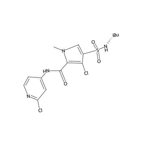 CC[C@@H](C)NS(=O)(=O)c1cn(C)c(C(=O)Nc2ccnc(Cl)c2)c1Cl